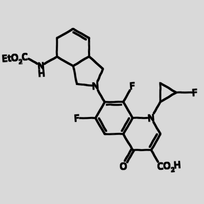 CCOC(=O)NC1CC=CC2CN(c3c(F)cc4c(=O)c(C(=O)O)cn(C5CC5F)c4c3F)CC21